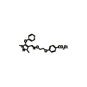 CCOC(=O)c1ccc(OCCO/N=C/c2c(C)nn(C)c2Oc2ccccc2)cc1